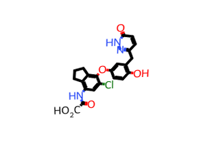 O=C(O)C(=O)Nc1cc(Cl)c(Oc2ccc(O)c(Cc3ccc(=O)[nH]n3)c2)c2c1CCC2